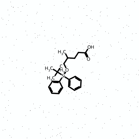 CC(CCC(=O)O)CO[Si](c1ccccc1)(c1ccccc1)C(C)(C)C